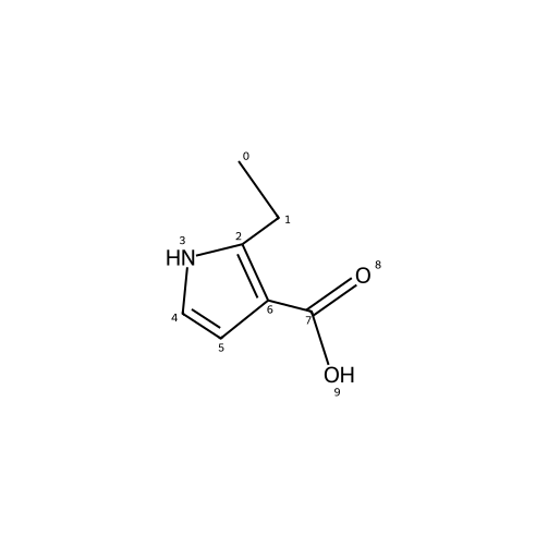 CCc1[nH]ccc1C(=O)O